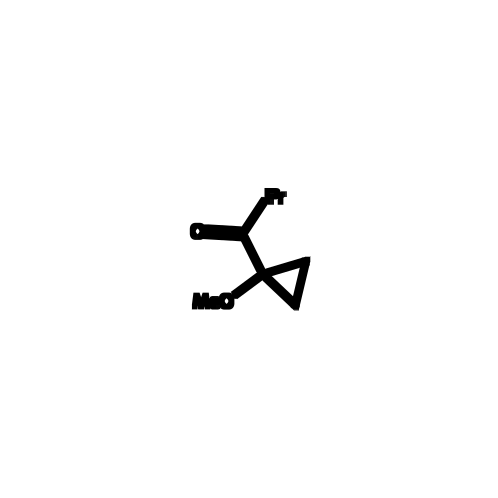 COC1(C(=O)C(C)C)CC1